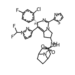 O=S(=O)(NC1CC2=C(c3ccn(C(F)F)n3)[C@H](c3ccc(F)cc3Cl)N=C(c3nccs3)N2C1)N1C2CCC1CC(O)C2